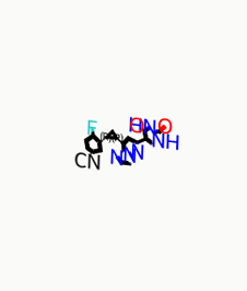 N#Cc1ccc(F)c([C@@H]2C[C@H]2c2cc(-c3c[nH]c(=O)[nH]c3=O)nn3ccnc23)c1